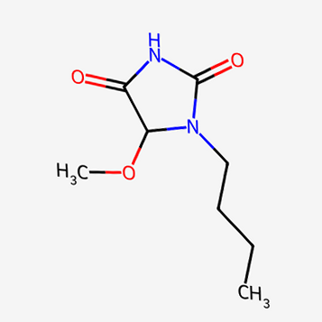 CCCCN1C(=O)NC(=O)C1OC